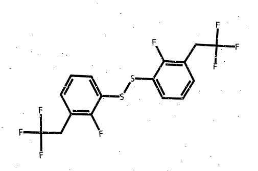 Fc1c(CC(F)(F)F)cccc1SSc1cccc(CC(F)(F)F)c1F